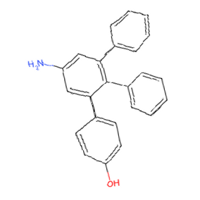 Nc1cc(-c2ccccc2)c(-c2ccccc2)c(-c2ccc(O)cc2)c1